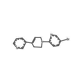 Brc1ccc(N2CC=C(c3cccnc3)CC2)nc1